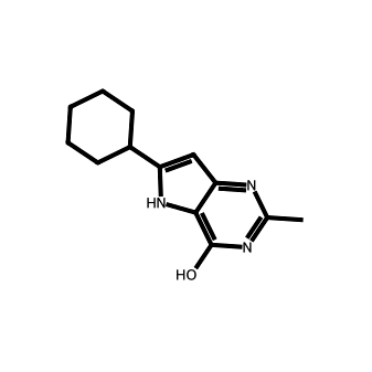 Cc1nc(O)c2[nH]c(C3CCCCC3)cc2n1